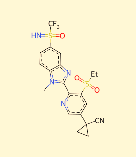 CCS(=O)(=O)c1cc(C2(C#N)CC2)cnc1-c1nc2cc(S(=N)(=O)C(F)(F)F)ccc2n1C